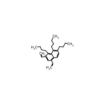 C=Cc1cc(C=C)c2ccc(CCCC)c(CCCC)c2c1CCCC